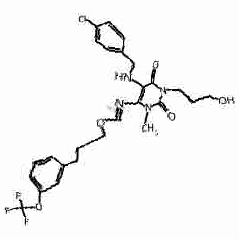 Cn1c(/N=C/OCCCc2cccc(OC(F)(F)F)c2)c(NCc2ccc(Cl)cc2)c(=O)n(CCCO)c1=O